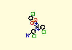 N#Cc1ccc(N(Cc2ccccc2Cl)[C@H]2CCN(S(=O)(=O)c3cccc(Cl)c3)C2)cc1Cl